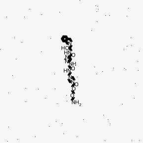 NCCOCCOCC(=O)N1CCN(CCNC(=O)CNc2cc(C(=O)NCC(O)CN3CCc4ccccc4C3)ncn2)CC1